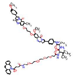 COc1ccc(C2=CN3C(=O)c4cc(C)c(OCCCOc5cc6c(cc5OC)C(=O)N5C=C(c7ccc(NC(=O)[C@H](C)NC(=O)[C@@H](NC(=O)CCOCCOCCOCCOCCNC(=O)CCC(=O)N8Cc9ccccc9C#Cc9ccccc98)C(C)C)cc7)CC5C=N6)cc4N=C[C@@H]3C2)cc1